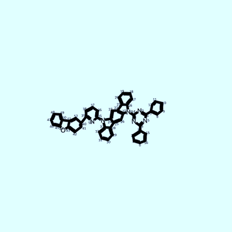 c1ccc(-c2nc(-c3ccccc3)nc(-n3c4ccccc4c4cc5c(cc43)c3ccccc3n5-c3cccc(-c4ccc5oc6ccccc6c5c4)n3)n2)cc1